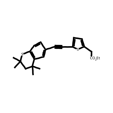 CCOC(=O)Cc1ccc(C#Cc2ccc3c(c2)C(C)(C)CC(C)(C)S3)s1